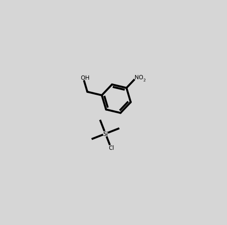 C[Si](C)(C)Cl.O=[N+]([O-])c1cccc(CO)c1